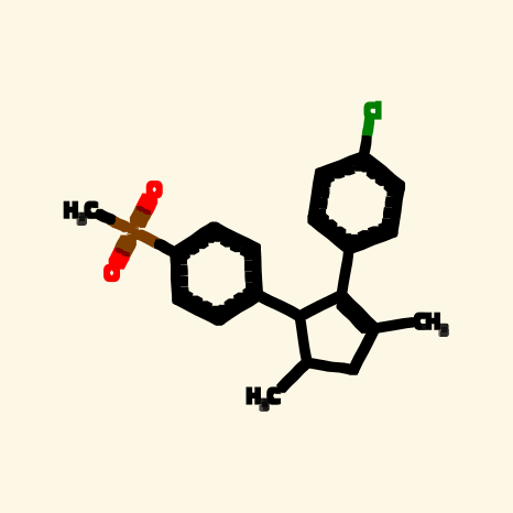 CC1=C(c2ccc(Cl)cc2)C(c2ccc(S(C)(=O)=O)cc2)C(C)C1